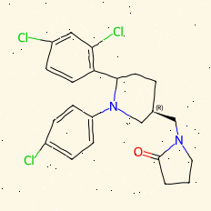 O=C1CCCN1C[C@@H]1CCC(c2ccc(Cl)cc2Cl)N(c2ccc(Cl)cc2)C1